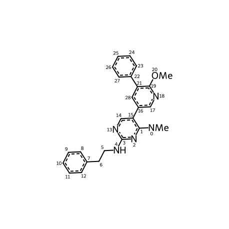 CNc1nc(NCCc2ccccc2)ncc1-c1cnc(OC)c(-c2ccccc2)c1